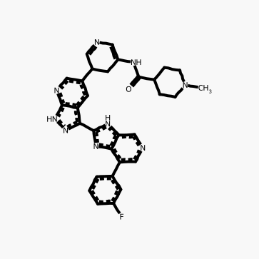 CN1CCC(C(=O)NC2=CN=CC(c3cnc4[nH]nc(-c5nc6c(-c7cccc(F)c7)cncc6[nH]5)c4c3)C2)CC1